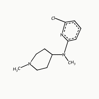 CN1CCC(N(C)c2cccc(Cl)n2)CC1